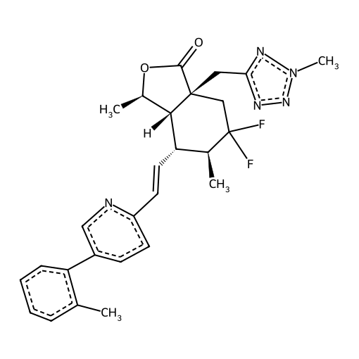 Cc1ccccc1-c1ccc(/C=C/[C@@H]2[C@@H]3[C@@H](C)OC(=O)[C@]3(Cc3nnn(C)n3)CC(F)(F)[C@H]2C)nc1